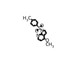 COc1ccnc2c1ccn2S(=O)(=O)c1ccc(C)cc1